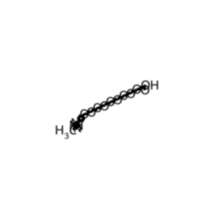 Cc1nnc(-c2ccc(OCCOCCOCCOCCOCCOCCOCCOCCOCCC(=O)O)cc2)nn1